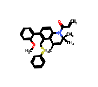 C=CC(=O)N1c2ccc(-c3ccccc3OC)c(CSc3ccccc3)c2C(C)=CC1(C)C